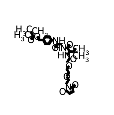 CC(C)C(NC(=O)COCCOCCN1C(=O)C=CC1=O)C(=O)NCC(=O)Nc1ccc(COC(=O)C(C)(C)C)cc1